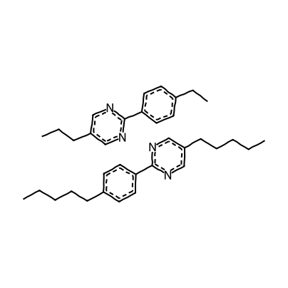 CCCCCc1ccc(-c2ncc(CCCCC)cn2)cc1.CCCc1cnc(-c2ccc(CC)cc2)nc1